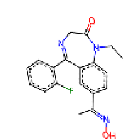 CCN1C(=O)CN=C(c2ccccc2F)c2cc(/C(C)=N/O)ccc21